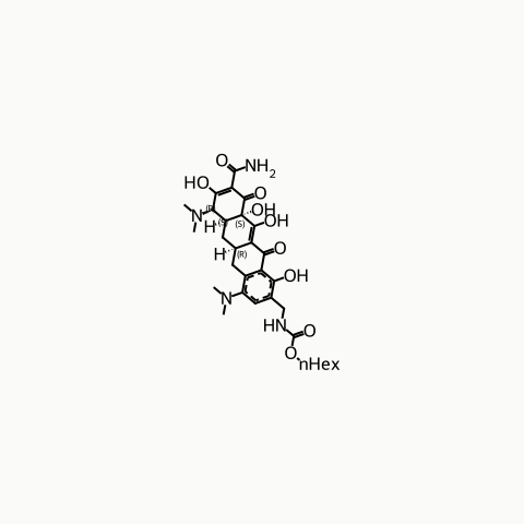 CCCCCCOC(=O)NCc1cc(N(C)C)c2c(c1O)C(=O)C1=C(O)[C@]3(O)C(=O)C(C(N)=O)=C(O)[C@H](N(C)C)[C@@H]3C[C@@H]1C2